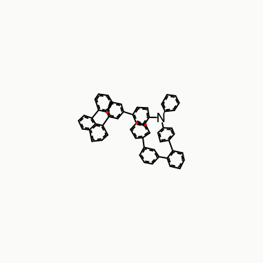 c1ccc(-c2cccc(-c3ccccc3-c3ccc(N(c4ccccc4)c4ccc(-c5cccc(-c6cccc7cccc(-c8ccccc8)c67)c5)cc4)cc3)c2)cc1